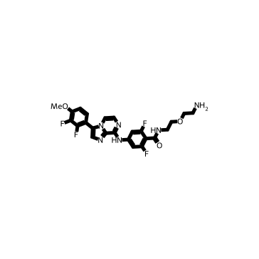 COc1ccc(-c2cnc3c(Nc4cc(F)c(C(=O)NCCOCCN)c(F)c4)nccn23)c(F)c1F